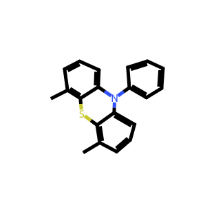 Cc1cccc2c1Sc1c(C)cccc1N2c1ccccc1